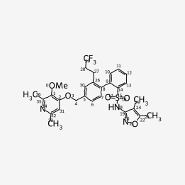 COc1c(OCc2ccc(-c3ccccc3S(=O)(=O)Nc3noc(C)c3C)c(CCC(F)(F)F)c2)cc(C)nc1C